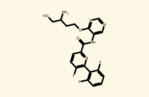 NC(CO)CCOc1ncncc1NC(=O)c1ccc(F)c(-c2c(F)cccc2F)n1